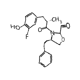 C[C@@H](Cc1ccc(O)c(F)c1)C(=O)N1C(C=O)OC[C@H]1Cc1ccccc1